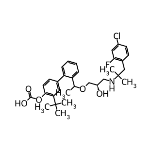 CC(OC[C@H](O)CNC(C)(C)Cc1ccc(Cl)cc1F)c1ccccc1-c1ccc(OC(=O)O)c(C(C)(C)C)c1